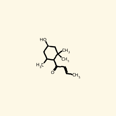 CC=CC(=O)C1C(C)CC(O)CC1(C)C